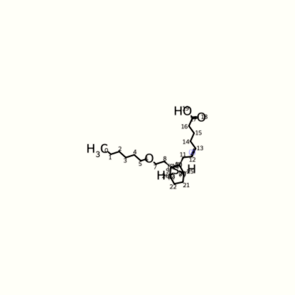 CCCCCCOCC[C@H]1[C@@H](C/C=C\CCCC(=O)O)[C@H]2CC[C@@H]1S2